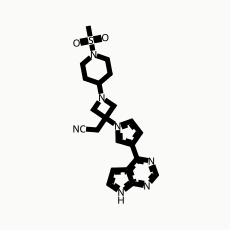 CS(=O)(=O)N1CCC(N2CC(CC#N)(n3ccc(-c4ncnc5[nH]ccc45)c3)C2)CC1